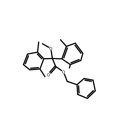 COC(C(=O)OCc1ccccc1)(c1c(C)cccc1C)c1c(C)cccc1C